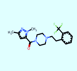 Cc1cc(C(=O)N2CCN(CCc3ccccc3C(F)(F)F)CC2)n(C)n1